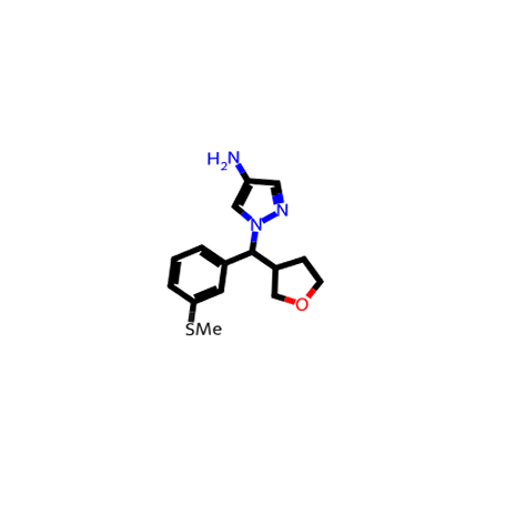 CSc1cccc(C(C2CCOC2)n2cc(N)cn2)c1